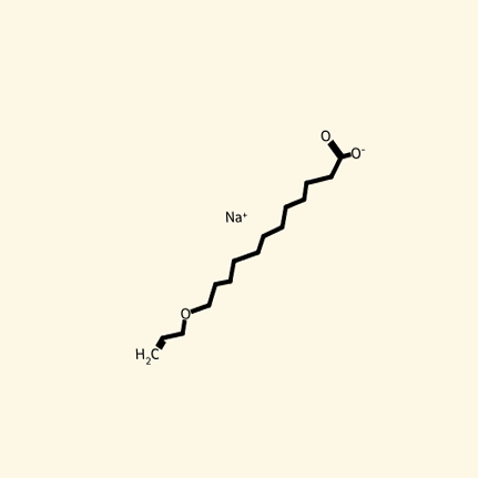 C=CCOCCCCCCCCCCCC(=O)[O-].[Na+]